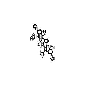 Cn1cncc1Nc1cc(-n2cccc2)cc2c1C(c1nc3ncnc4nc(-n5cnc6cc(-n7cccc7)cc(Nc7cncn7C)c65)c5ccc1c5n34)C=N2